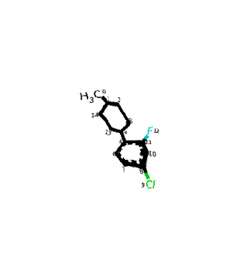 CC1CCC(c2ccc(Cl)cc2F)CC1